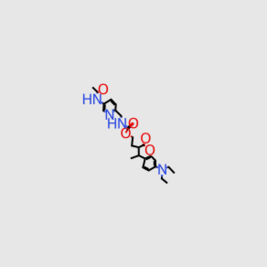 CCN(CC)c1ccc2c(c1)OC(=O)C(CCOC(=O)NCc1ccc(NC(C)=O)cn1)C2C